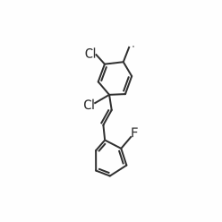 [CH2]C1C=CC(Cl)(/C=C/c2ccccc2F)C=C1Cl